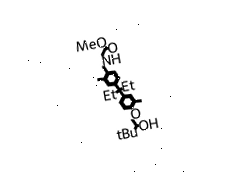 CCC(CC)(c1ccc(CNCC(=O)OC)c(C)c1)c1ccc(OCC(O)C(C)(C)C)c(C)c1